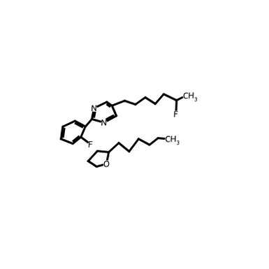 CC(F)CCCCCc1cnc(-c2ccccc2F)nc1.CCCCCCC1CCCO1